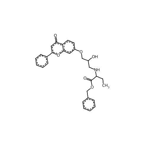 CCC(NCC(O)COc1ccc2c(=O)cc(-c3ccccc3)oc2c1)C(=O)OCc1ccccc1